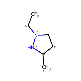 CC1CCN(CC(F)(F)F)N1